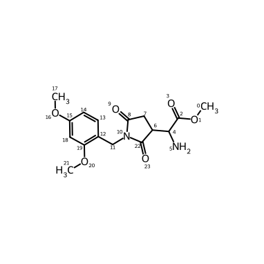 COC(=O)C(N)C1CC(=O)N(Cc2ccc(OC)cc2OC)C1=O